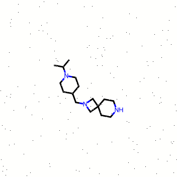 CC(C)N1CCC(CN2CC3(CCNCC3)C2)CC1